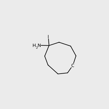 NC1(I)CCCCCCCC1